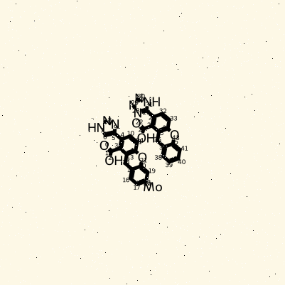 O=C(O)c1c(-c2c[nH]nn2)ccc2c1Cc1ccccc1O2.O=C(O)c1c(-c2nnn[nH]2)ccc2c1Cc1ccccc1O2.[Mo]